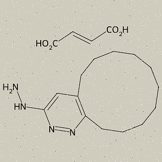 NNc1cc2c(nn1)CCCCCCCCCC2.O=C(O)/C=C/C(=O)O